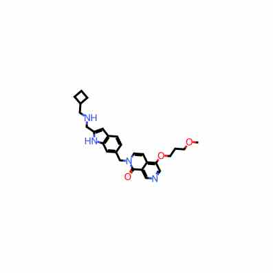 COCCCOc1cncc2c(=O)n(Cc3ccc4cc(CNCC5CCC5)[nH]c4c3)ccc12